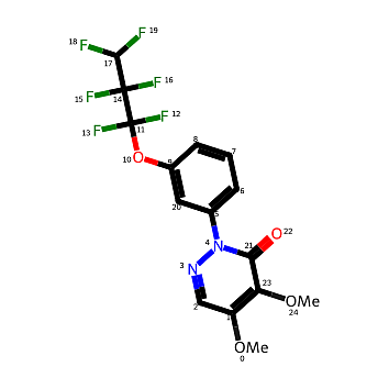 COc1cnn(-c2cccc(OC(F)(F)C(F)(F)C(F)F)c2)c(=O)c1OC